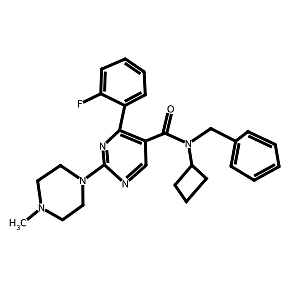 CN1CCN(c2ncc(C(=O)N(Cc3ccccc3)C3CCC3)c(-c3ccccc3F)n2)CC1